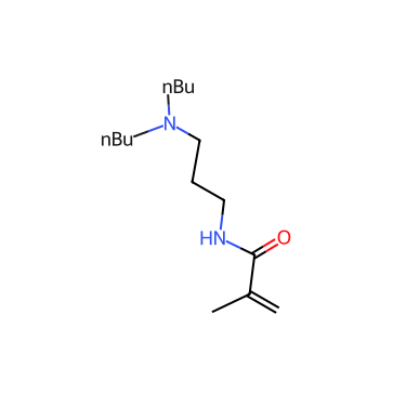 C=C(C)C(=O)NCCCN(CCCC)CCCC